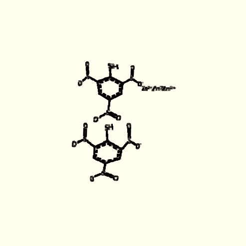 O=S([O-])c1cc(S(=O)[O-])c(S)c(S(=O)[O-])c1.O=S([O-])c1cc(S(=O)[O-])c(S)c(S(=O)[O-])c1.[Zn+2].[Zn+2].[Zn+2]